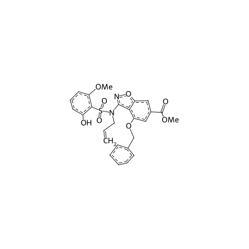 C=CCN(c1noc2cc(C(=O)OC)cc(OCc3ccccc3)c12)S(=O)(=O)c1c(O)cccc1OC